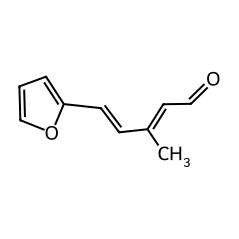 CC(C=Cc1ccco1)=CC=O